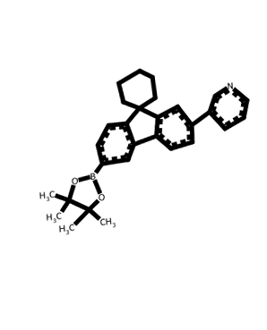 CC1(C)OB(c2ccc3c(c2)-c2ccc(-c4cccnc4)cc2C32CCCCC2)OC1(C)C